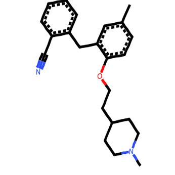 Cc1ccc(OCCC2CCN(C)CC2)c(Cc2ccccc2C#N)c1